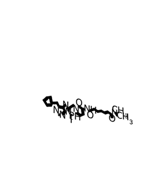 CN(C)C(=O)/C=C/CCCC(=O)Nc1cccn(Cc2nc3c(Cc4ccccc4)ncnc3n2PI)c1=O